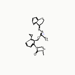 CC/C(=N/N=C1CCOc2ccccc21)OCc1c(C2CC2)cccc1-n1nnn(C)c1=O